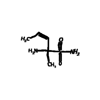 C/C=C\C(C)(N)S(N)(=O)=O